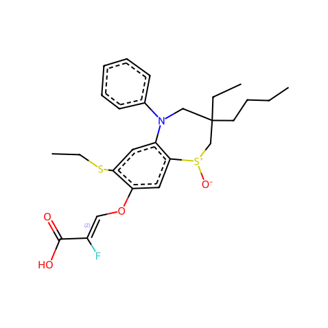 CCCCC1(CC)CN(c2ccccc2)c2cc(SCC)c(O/C=C(\F)C(=O)O)cc2[S+]([O-])C1